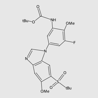 COc1cc2ncn(-c3cc(F)c(OC)c(NC(=O)OC(C)(C)C)c3)c2cc1S(=O)(=O)C(C)(C)C